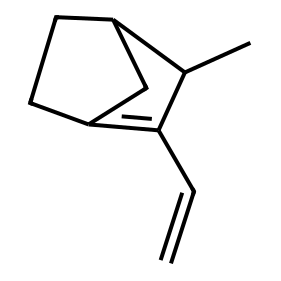 C=CC1=C2CCC(C2)C1C